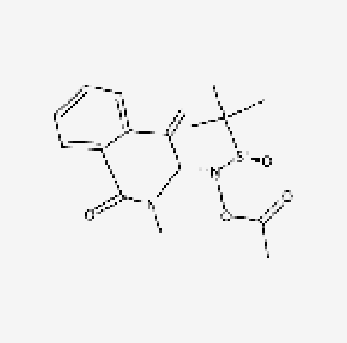 C=C1c2ccccc2C(=O)N(C)[C@H]1N(OC(C)=O)[S@+]([O-])C(C)(C)C